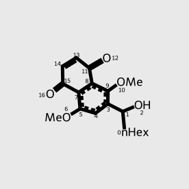 CCCCCCC(O)c1cc(OC)c2c(c1OC)C(=O)C=CC2=O